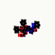 O=C(Nc1ncnc2c1ncn2[C@@H]1O[C@H](CO)[C@H](OC(=O)c2ccccc2)[C@@H]1OC(=O)c1ccccc1)c1ccccc1